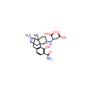 CN1CC23Cc4ccc(C(N)=O)c(O)c4[C@]4(C[C@H](NC(CC(=O)O)C(=O)O)CC[C@H]4[C@H]12)C3